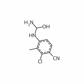 Cc1c(NC(N)O)ccc(C#N)c1Cl